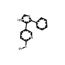 CC(C)Sc1ccc(-c2[nH]cnc2-c2ccccc2)cn1